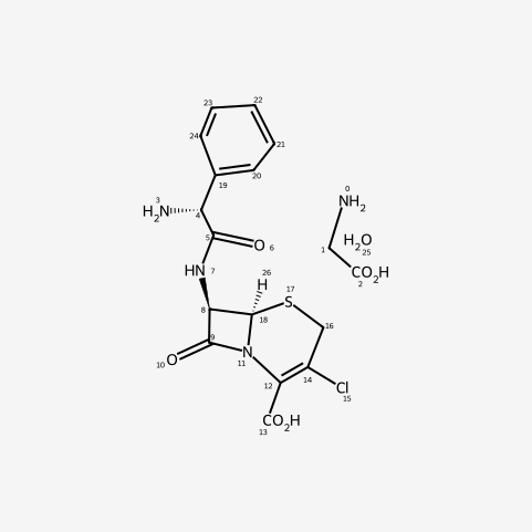 NCC(=O)O.N[C@@H](C(=O)N[C@@H]1C(=O)N2C(C(=O)O)=C(Cl)CS[C@H]12)c1ccccc1.O